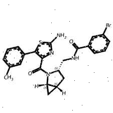 Cc1cccc(-c2sc(N)nc2C(=O)N2[C@H](CNC(=O)c3cccc(Br)c3)C[C@@H]3C[C@@H]32)c1